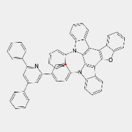 c1ccc(-c2cc(-c3ccccc3)nc(-c3ccc(-n4c5ccccc5c5c6oc7ccccc7c6c6c7ccccc7n(-c7ccccc7)c6c54)cc3)c2)cc1